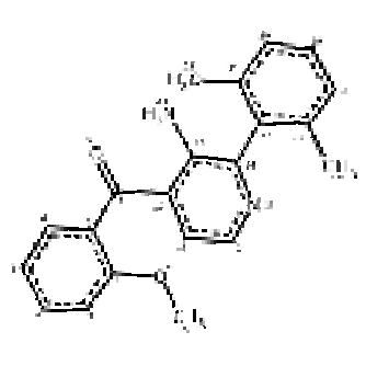 COc1ccccc1C(=O)c1ccnc(-c2c(C)cccc2C)c1N